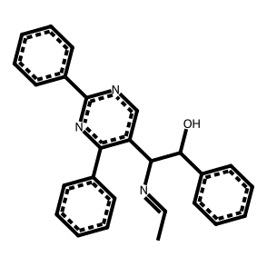 CC=NC(c1cnc(-c2ccccc2)nc1-c1ccccc1)C(O)c1ccccc1